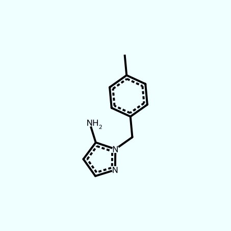 Cc1ccc(Cn2nccc2N)cc1